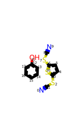 N#CSc1ccc(SC#N)s1.Oc1ccccc1